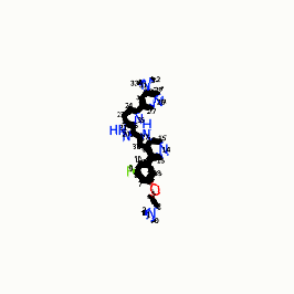 CN(C)CCOc1cc(F)cc(-c2cncc3[nH]c(-c4n[nH]c5ccc(-c6cncc(N(C)C)c6)nc45)cc23)c1